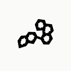 [c]1cccc2ccc(-c3cccc4ccc5ccccc5c34)cc12